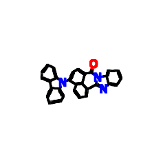 O=c1c2ccc(-n3c4ccccc4c4ccccc43)c3cccc(c32)c2nc3ccccc3n12